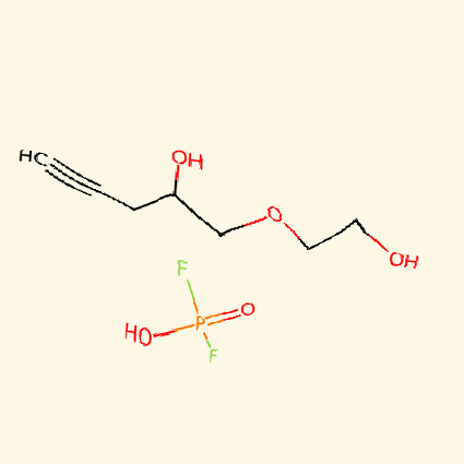 C#CCC(O)COCCO.O=P(O)(F)F